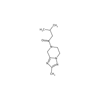 Cc1nc2n(n1)CCN(C(=O)CC(C)C)C2